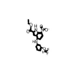 CCOC(=O)c1cc2c(Nc3cccc(OC(F)(F)F)c3)ccc([N+](=O)[O-])c2[nH]1